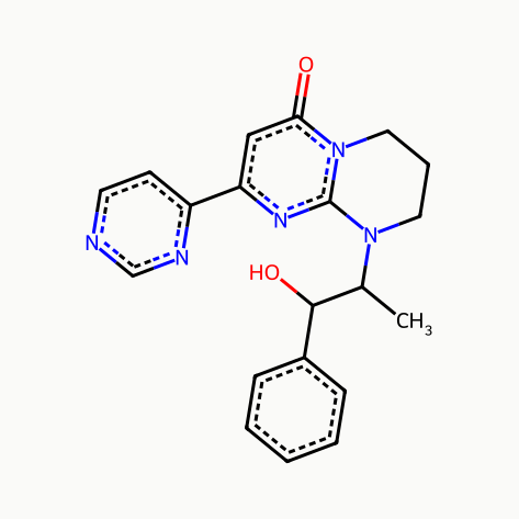 CC(C(O)c1ccccc1)N1CCCn2c1nc(-c1ccncn1)cc2=O